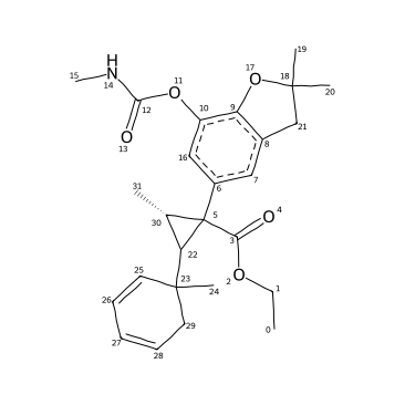 CCOC(=O)C1(c2cc3c(c(OC(=O)NC)c2)OC(C)(C)C3)C(C2(C)C=CC=CC2)[C@@H]1C